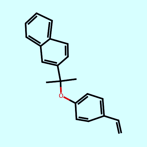 C=Cc1ccc(OC(C)(C)c2ccc3ccccc3c2)cc1